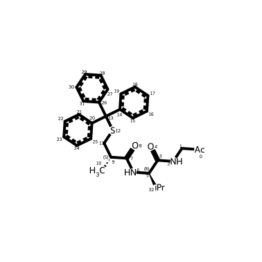 CC(=O)CNC(=O)[C@H](NC(=O)[C@H](C)CSC(c1ccccc1)(c1ccccc1)c1ccccc1)C(C)C